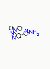 CCN(c1ccccc1)c1ncnc2ccc(-c3ccc(N)nc3)cc12